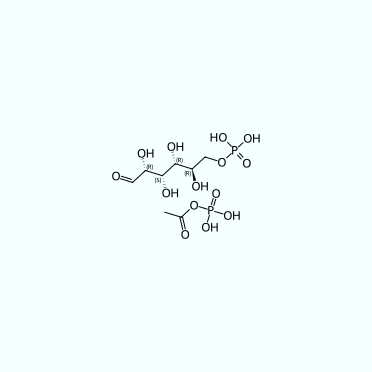 CC(=O)OP(=O)(O)O.O=C[C@H](O)[C@@H](O)[C@H](O)[C@H](O)COP(=O)(O)O